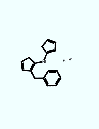 C1=CC[C]([Hf][C]2=C(Cc3ccccc3)C=CC2)=C1.[H-].[H-]